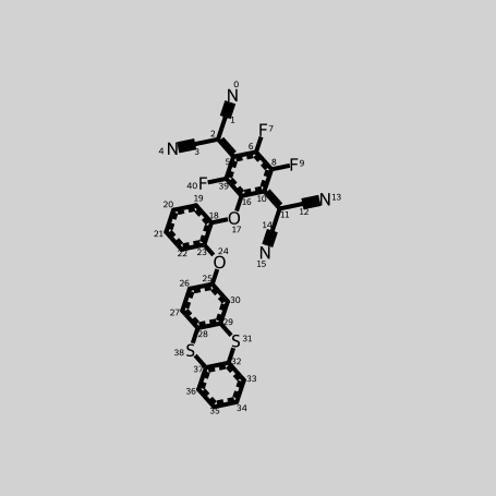 N#CC(C#N)=c1c(F)c(F)c(=C(C#N)C#N)c(Oc2ccccc2Oc2ccc3c(c2)Sc2ccccc2S3)c1F